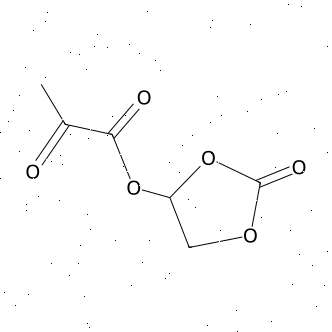 CC(=O)C(=O)OC1COC(=O)O1